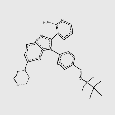 CC(C)(C)[Si](C)(C)OCc1ccc(-n2c(-c3cccnc3N)nc3ccc(N4CCOCC4)nc32)cc1